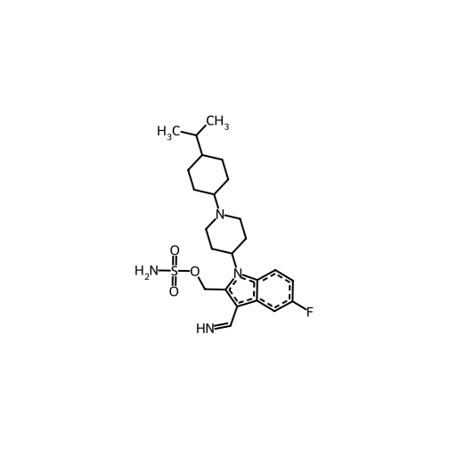 CC(C)C1CCC(N2CCC(n3c(COS(N)(=O)=O)c(C=N)c4cc(F)ccc43)CC2)CC1